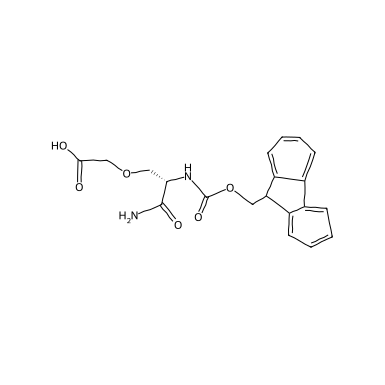 NC(=O)[C@H](COCC(=O)O)NC(=O)OCC1c2ccccc2-c2ccccc21